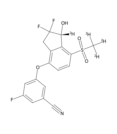 [2H]C([2H])([2H])S(=O)(=O)c1ccc(Oc2cc(F)cc(C#N)c2)c2c1[C@@]([2H])(O)C(F)(F)C2